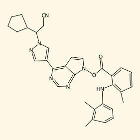 Cc1cccc(Nc2c(C)cccc2C(=O)On2ccc3c(-c4cnn(C(CC#N)C5CCCC5)c4)ncnc32)c1C